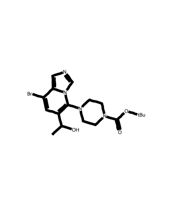 CC(O)c1cc(Br)c2cncn2c1N1CCN(C(=O)OC(C)(C)C)CC1